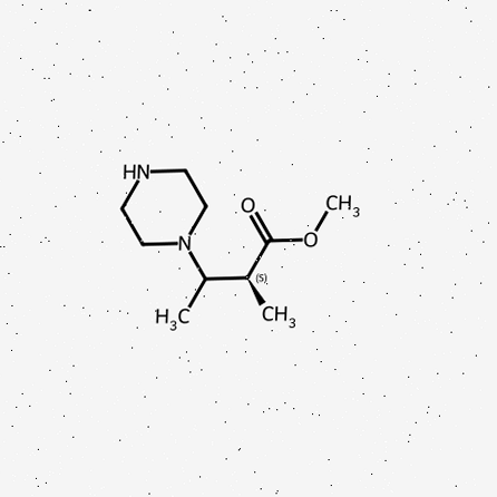 COC(=O)[C@@H](C)C(C)N1CCNCC1